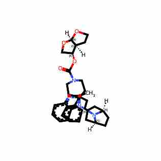 Cc1nc2ccccc2n1[C@H]1C[C@H]2CC[C@@H](C1)N2CCC1(c2ccccc2)CCN(C(=O)O[C@H]2CO[C@H]3OCC[C@H]32)CC1